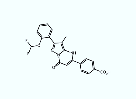 Cc1c(-c2ccccc2OC(F)F)nn2c(=O)cc(-c3ccc(C(=O)O)cc3)[nH]c12